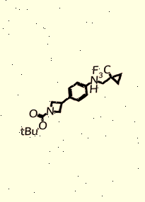 CC(C)(C)OC(=O)N1CC(c2ccc(NCC3(C(F)(F)F)CC3)cc2)C1